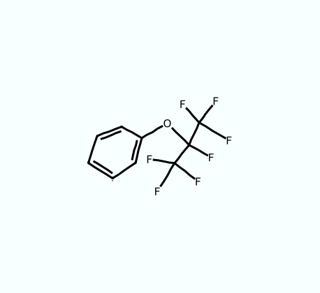 FC(F)(F)C(F)(Oc1c[c]ccc1)C(F)(F)F